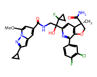 COc1cc(C(=O)NCC(O)(c2cc3c(c(-c4ccc(F)c(Cl)c4)n2)OC[C@]3(C)C(N)=O)C2(F)CC2)cc2cc(C3CC3)nn12